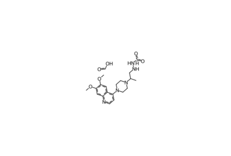 COc1cc2nccc(N3CCN(C(C)CNN[SH](=O)=O)CC3)c2cc1OC.O=CO